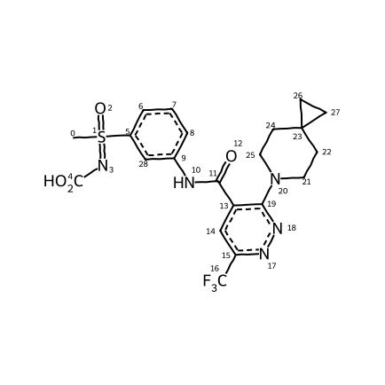 CS(=O)(=NC(=O)O)c1cccc(NC(=O)c2cc(C(F)(F)F)nnc2N2CCC3(CC2)CC3)c1